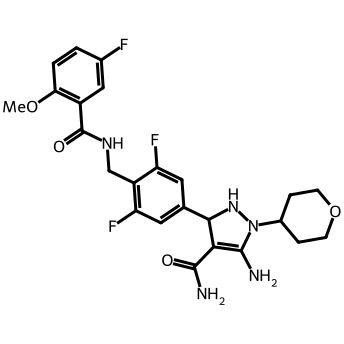 COc1ccc(F)cc1C(=O)NCc1c(F)cc(C2NN(C3CCOCC3)C(N)=C2C(N)=O)cc1F